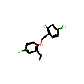 CCc1cc(Br)ccc1OCc1ccc(Cl)cc1Cl